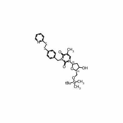 Cc1cn([C@H]2CC(O)[C@@H](CO[Si](C)(C)C(C)(C)C)O2)c(=O)n(Cc2ccc(SSc3ccccn3)cc2)c1=O